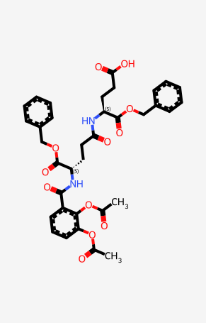 CC(=O)Oc1cccc(C(=O)N[C@@H](CCC(=O)N[C@@H](CCC(=O)O)C(=O)OCc2ccccc2)C(=O)OCc2ccccc2)c1OC(C)=O